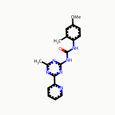 COc1ccc(NC(=O)Nc2nc(C)nc(-c3ccccn3)n2)c(C)c1